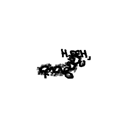 CC1(C)CC(=O)c2cc(C(=O)N3CCN(c4ccccc4F)CC3)sc2S1